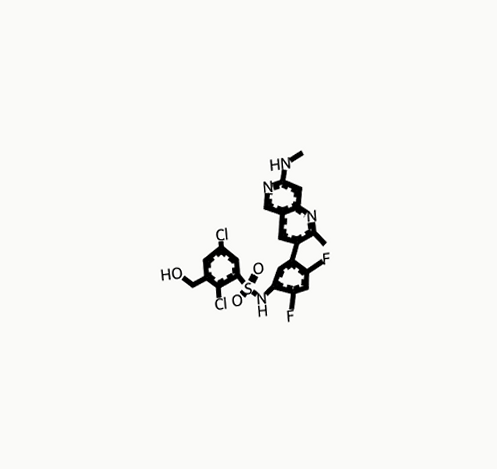 CNc1cc2nc(C)c(-c3cc(NS(=O)(=O)c4cc(Cl)cc(CO)c4Cl)c(F)cc3F)cc2cn1